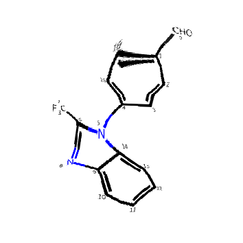 O=Cc1ccc(-n2c(C(F)(F)F)nc3ccccc32)cc1